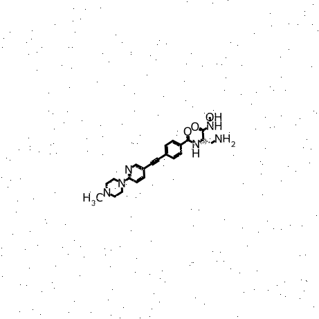 CN1CCN(c2ccc(C#Cc3ccc(C(=O)N[C@@H](CN)C(=O)NO)cc3)cn2)CC1